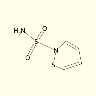 NS(=O)(=O)N1C=CC=CS1